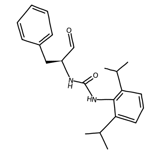 CC(C)c1cccc(C(C)C)c1NC(=O)N[C@H](C=O)Cc1ccccc1